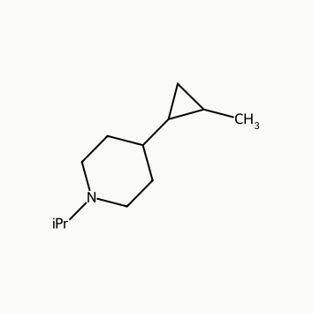 CC1CC1C1CCN(C(C)C)CC1